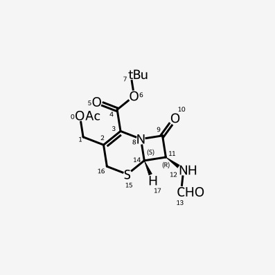 CC(=O)OCC1=C(C(=O)OC(C)(C)C)N2C(=O)[C@@H](NC=O)[C@@H]2SC1